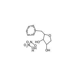 O=[N+]([O-])O.O=[N+]([O-])O.OC1COC(Cc2ccccc2)C1O